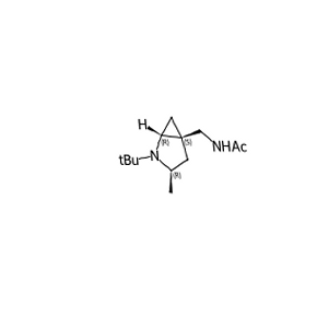 CC(=O)NC[C@@]12C[C@@H](C)N(C(C)(C)C)[C@@H]1C2